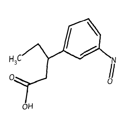 CCC(CC(=O)O)c1cccc(N=O)c1